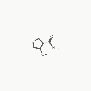 NC(=O)[C@H]1COC[C@@H]1O